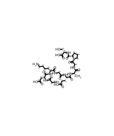 C[C@H](NC(=O)[C@H](CCC(=O)O)NC(=O)CNC(=O)[C@H](CCCCN)NC(=O)[C@H](CC(=O)O)NC(=O)CN)C(=O)NCC(=O)N1CCC[C@H]1C(=O)N[C@@H](CO)C(=O)O